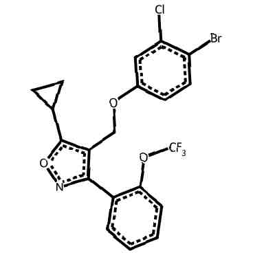 FC(F)(F)Oc1ccccc1-c1noc(C2CC2)c1COc1ccc(Br)c(Cl)c1